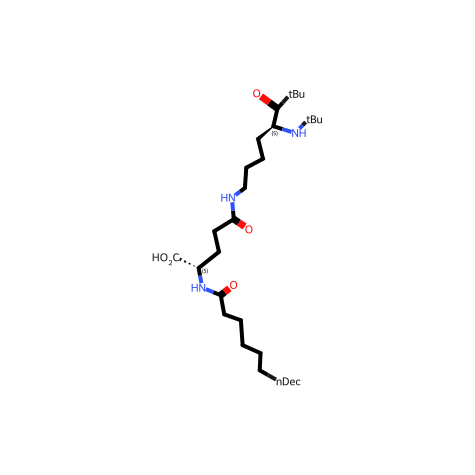 CCCCCCCCCCCCCCCC(=O)N[C@@H](CCC(=O)NCCCC[C@H](NC(C)(C)C)C(=O)C(C)(C)C)C(=O)O